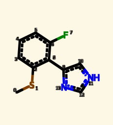 CSc1cccc(F)c1-c1c[nH]cn1